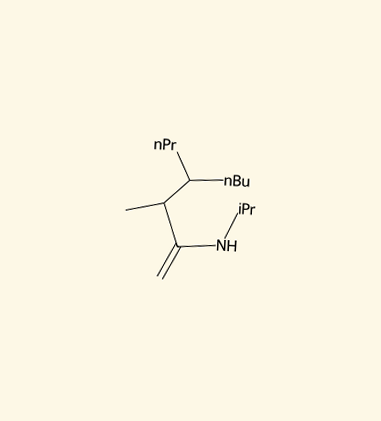 C=C(NC(C)C)C(C)C(CCC)CCCC